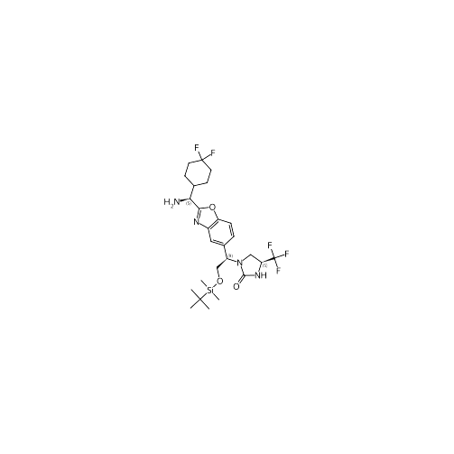 CC(C)(C)[Si](C)(C)OC[C@@H](c1ccc2oc([C@@H](N)C3CCC(F)(F)CC3)nc2c1)N1C[C@@H](C(F)(F)F)NC1=O